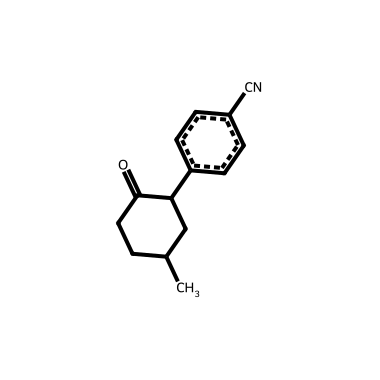 CC1CCC(=O)C(c2ccc(C#N)cc2)C1